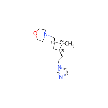 C[C@H]1[C@@H](CCn2ccnc2)C[C@H]1CN1CCOCC1